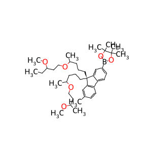 CCC(CCOC(C)CCC[C@]1(CCCC(C)OCCC(C)OC)c2cc(C)ccc2-c2ccc(B3OC(C)(C)C(C)(C)O3)cc21)OC